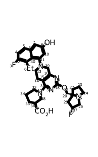 CCc1c(F)ccc2cc(O)cc(N3CCc4c(nc(OC[C@@]56CCCN5C[C@H](F)C6)nc4N4CCCC(C(=O)O)C4)C3)c12